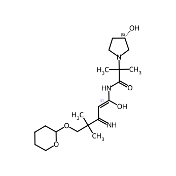 CC(C)(COC1CCCCO1)C(=N)/C=C(\O)NC(=O)C(C)(C)N1CC[C@H](O)C1